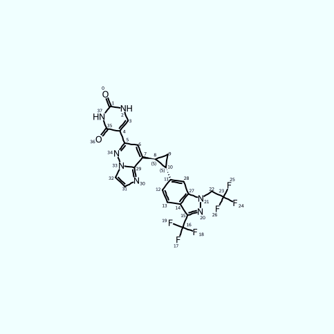 O=c1[nH]cc(-c2cc([C@H]3C[C@@H]3c3ccc4c(C(F)(F)F)nn(CC(F)(F)F)c4c3)c3nccn3n2)c(=O)[nH]1